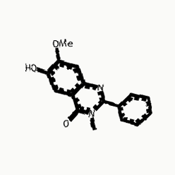 COc1cc2nc(-c3ccccc3)n(C)c(=O)c2cc1O